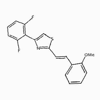 COc1ccccc1/C=C/c1nc(-c2c(F)cccc2F)cs1